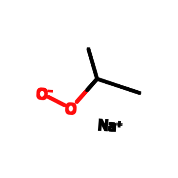 CC(C)O[O-].[Na+]